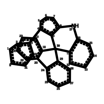 [c]1ccc(-c2cccc3c2C2(c4ccccc4N3)c3ccccc3-c3ccccc32)cc1